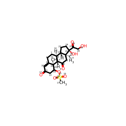 C[C@]12CC(=O)[C@H]3[C@@H](CCC4=CC(=O)CC(OS(C)(=O)=O)[C@@]43C)[C@@H]1CC[C@]2(O)C(=O)CO